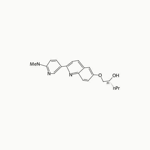 CCC[C@@H](O)COc1ccc2nc(-c3ccc(NC)nc3)ccc2c1